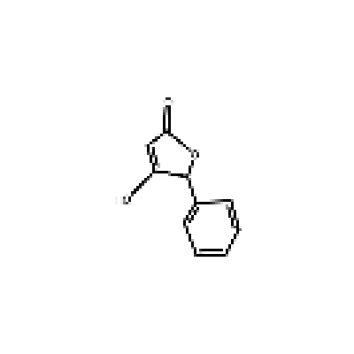 O=C1C=C(O)C(c2ccccc2)O1